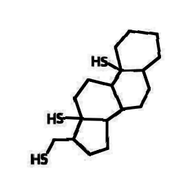 SCC1CCC2C3CCC4CCCCC4(S)C3CCC12S